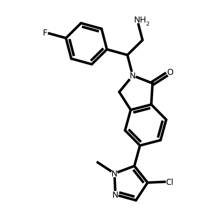 Cn1ncc(Cl)c1-c1ccc2c(c1)CN(C(CN)c1ccc(F)cc1)C2=O